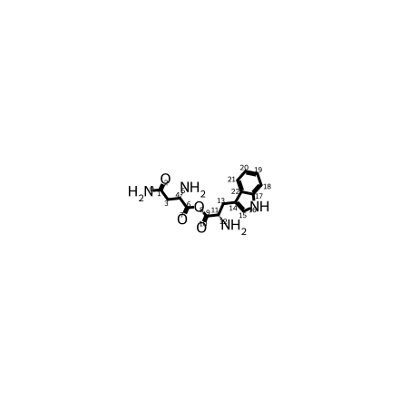 NC(=O)C[C@H](N)C(=O)OC(=O)[C@@H](N)Cc1c[nH]c2ccccc12